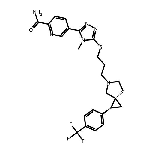 Cn1c(SCCCN2CC[C@@]3(C[C@H]3c3ccc(C(F)(F)F)cc3)C2)nnc1-c1ccc(C(N)=O)nc1